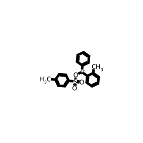 Cc1ccc(S(=O)(=O)O[I+](c2ccccc2)c2ccccc2C)cc1